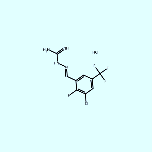 Cl.N=C(N)NN=Cc1cc(C(F)(F)F)cc(Cl)c1F